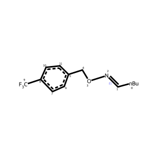 CCCC/[C]=N/OCc1ccc(C(F)(F)F)cc1